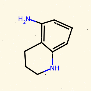 Nc1cccc2c1CCCN2